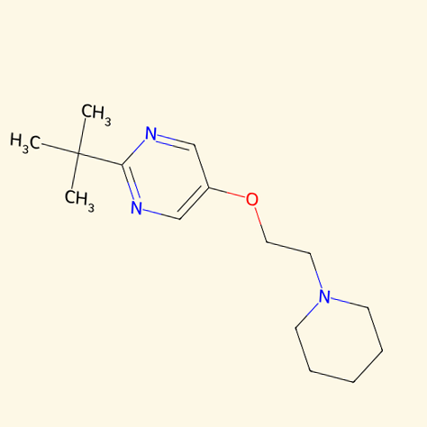 CC(C)(C)c1ncc(OCCN2CCCCC2)cn1